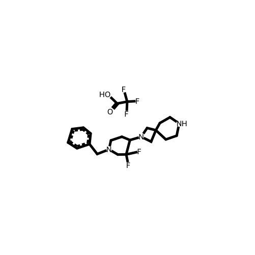 FC1(F)CN(Cc2ccccc2)CCC1N1CC2(CCNCC2)C1.O=C(O)C(F)(F)F